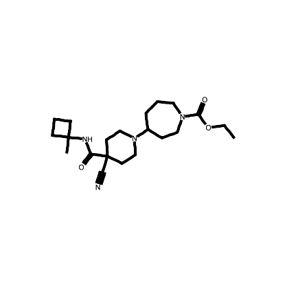 CCOC(=O)N1CCCC(N2CCC(C#N)(C(=O)NC3(C)CCC3)CC2)CC1